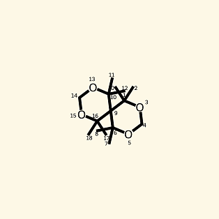 CC1(C)OCOC(C)(C)C12C(C)(C)OCOC2(C)C